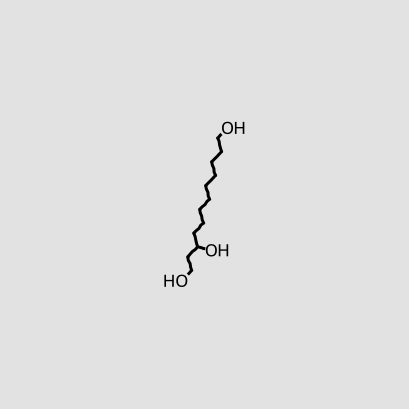 OCCCCCCCCCC(O)CCO